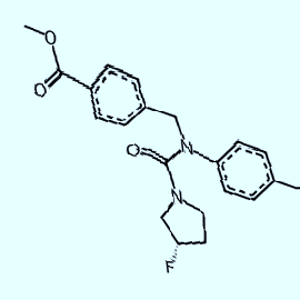 COC(=O)c1ccc(CN(C(=O)N2CC[C@H](F)C2)c2ccc(C)cc2)cc1